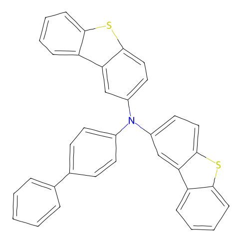 c1ccc(-c2ccc(N(c3ccc4sc5ccccc5c4c3)c3ccc4sc5ccccc5c4c3)cc2)cc1